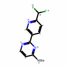 CNc1ccnc(-c2ccc(C(F)F)nc2)n1